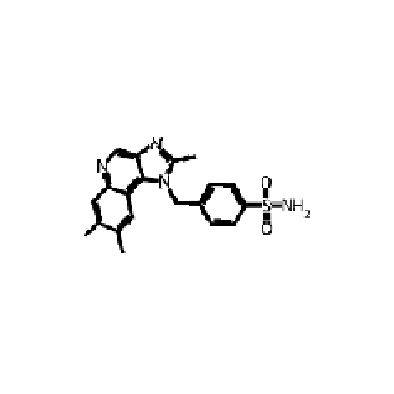 Cc1cc2ncc3nc(C)n(Cc4ccc(S(N)(=O)=O)cc4)c3c2cc1C